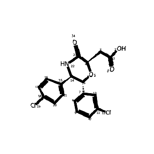 O=C(O)C[C@H]1O[C@H](c2cccc(Cl)c2)[C@@H](c2ccc(Cl)cc2)NC1=O